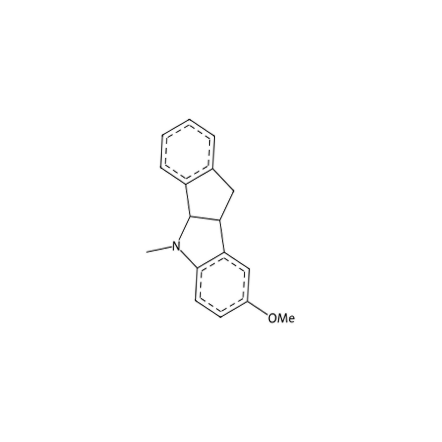 COc1ccc2c(c1)C1Cc3ccccc3C1N2C